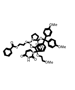 COCCO[C@]1(n2ccc(=O)[nH]c2=O)CO[C@H](COC(c2ccccc2)(c2ccc(OC)cc2)c2ccc(OC)cc2)C1OP(SCCSC(=O)c1ccccc1)N1CCCC1